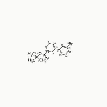 CC(C)(C)OC(=O)N1CCC=C(c2cccc(Br)c2)C1